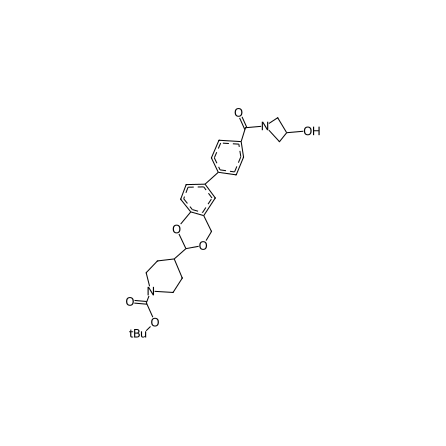 CC(C)(C)OC(=O)N1CCC(C2OCc3cc(-c4ccc(C(=O)N5CC(O)C5)cc4)ccc3O2)CC1